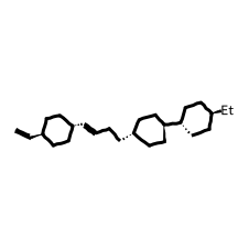 C=C[C@H]1CC[C@H](C=CCC[C@H]2CC[C@H]([C@H]3CC[C@H](CC)CC3)CC2)CC1